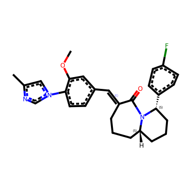 COc1cc(/C=C2\CCC[C@H]3CCC[C@@H](c4ccc(F)cc4)N3C2=O)ccc1-n1cnc(C)c1